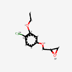 CCOc1cc(OCC2CO2)ccc1Cl